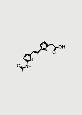 CC(=O)Nc1nc(/C=C/c2ccc(CC(=O)O)s2)cs1